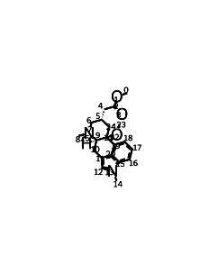 COC(=O)C[C@H]1CN(C)[C@@H]2Cc3cn(C)c4cccc(c34)[C@@]2(OC)C1